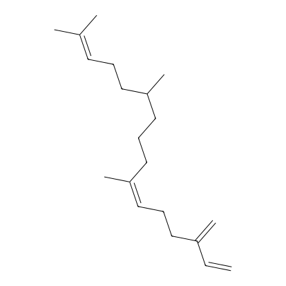 C=CC(=C)CCC=C(C)CCCC(C)CCC=C(C)C